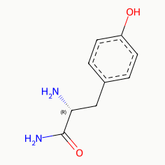 NC(=O)[C@H](N)Cc1ccc(O)cc1